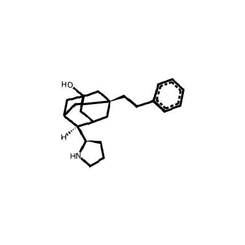 OC12CC3C[C@](CCc4ccccc4)(CC(C1)[C@@H]3[C@H]1CCCN1)C2